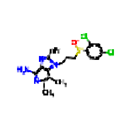 CCCc1nc2c(N)nc(C)c(C)c2n1CCC[S+]([O-])c1ccc(Cl)cc1Cl